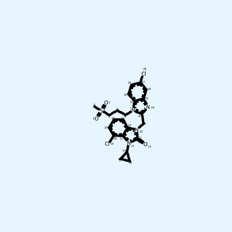 CS(=O)(=O)CCCn1c(Cn2c(=O)n(C3CC3)c3c(Cl)cccc32)nc2cc(Cl)ccc21